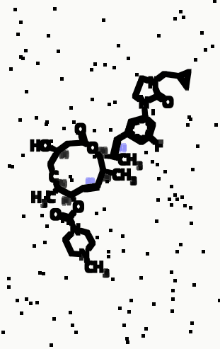 C/C(=C\c1cc(F)cc(N2CCN(CC3CC3)C2=O)c1)[C@H]1OC(=O)C[C@H](O)CC[C@H](C)[C@@H](OC(=O)N2CCN(C)CC2)/C=C/[C@@H]1C